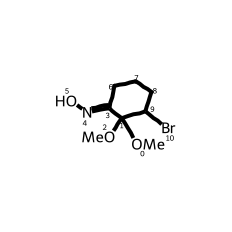 COC1(OC)C(=NO)CCCC1Br